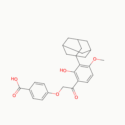 COc1ccc(C(=O)COc2ccc(C(=O)O)cc2)c(O)c1C12CC3CC(CC(C3)C1)C2